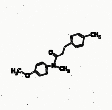 COc1ccc(N(C)C(=O)CCc2ccc(C)cc2)cc1